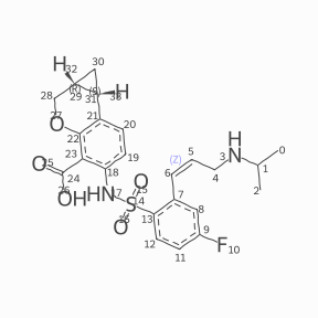 CC(C)NC/C=C\c1cc(F)ccc1S(=O)(=O)Nc1ccc2c(c1C(=O)O)OC[C@@H]1C[C@H]21